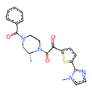 C[C@@H]1CN(C(=O)c2ccccc2)CCN1C(=O)C(=O)c1ccc(-c2nccn2C)s1